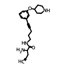 C#CCC(N)C(=O)NCCCC#Cc1cccc(OC2CCNCC2)c1